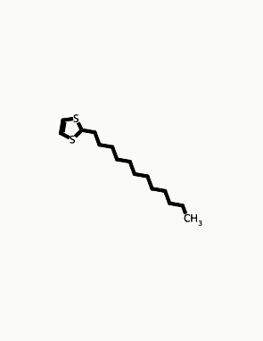 CCCCCCCCCCCCC1SC=CS1